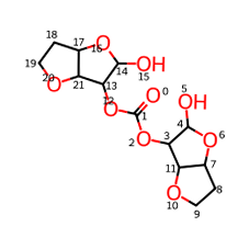 O=C(OC1C(O)OC2CCOC21)OC1C(O)OC2CCOC21